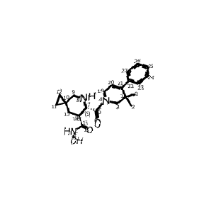 CC1(C)CN(C(=O)[C@H]2NCC3(CC3)C[C@@H]2C(=O)NO)CC=C1c1ccccc1